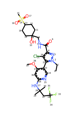 CCn1nc(C(=O)NCC2(O)CCC(S(C)(=O)=O)CC2)c(Cl)c1-c1cnc(NC(C)(C)CC(F)(F)F)cc1OC